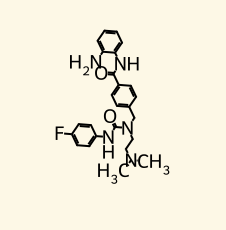 CN(C)CCN(Cc1ccc(C(=O)Nc2ccccc2N)cc1)C(=O)Nc1ccc(F)cc1